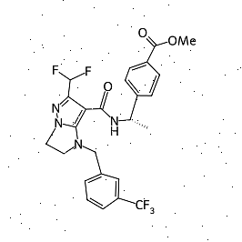 COC(=O)c1ccc([C@H](C)NC(=O)c2c(C(F)F)nn3c2N(Cc2cccc(C(F)(F)F)c2)CC3)cc1